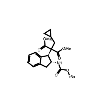 COC(=O)C(CC1CC1)(C(=O)OC)[C@@H]1c2ccccc2C[C@H]1NC(=O)OC(C)(C)C